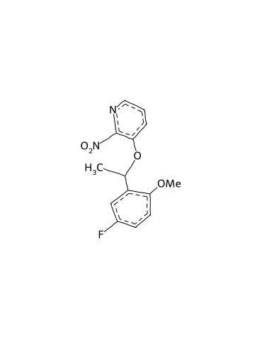 COc1ccc(F)cc1C(C)Oc1cccnc1[N+](=O)[O-]